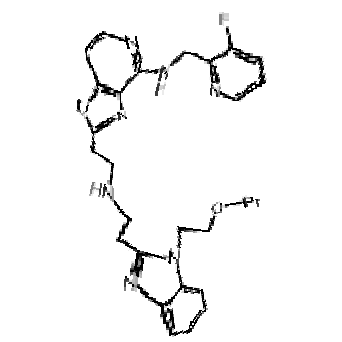 CC(C)OCCn1c(CCNCCc2nc3c(NCc4ncccc4F)nccc3o2)nc2ccccc21